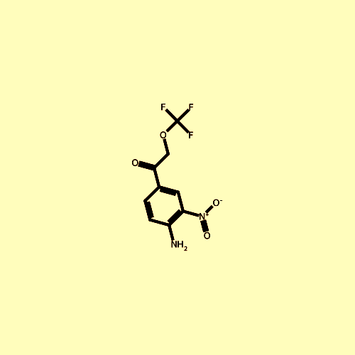 Nc1ccc(C(=O)COC(F)(F)F)cc1[N+](=O)[O-]